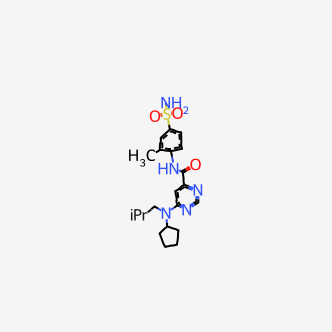 Cc1cc(S(N)(=O)=O)ccc1NC(=O)c1cc(N(CC(C)C)C2CCCC2)ncn1